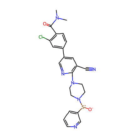 CN(C)C(=O)c1ccc(-c2cnc(N3CCN([S+]([O-])c4cccnc4)CC3)c(C#N)c2)cc1Cl